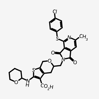 Cc1cc2c(c(Sc3ccc(Cl)cc3)n1)C(=O)N(CC1Cc3c(sc(NC4CCCCO4)c3C(=O)O)CO1)C2=O